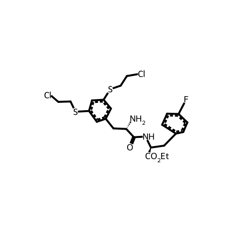 CCOC(=O)[C@H](Cc1ccc(F)cc1)NC(=O)[C@@H](N)Cc1cc(SCCCl)cc(SCCCl)c1